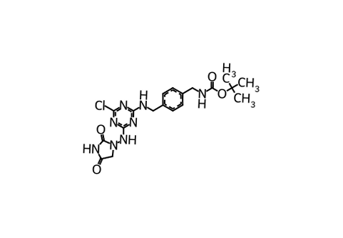 CC(C)(C)OC(=O)NCc1ccc(CNc2nc(Cl)nc(NN3CC(=O)NC3=O)n2)cc1